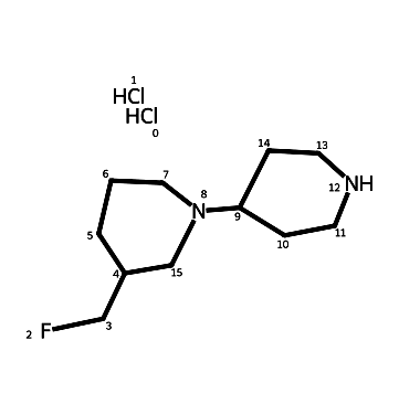 Cl.Cl.FCC1CCCN(C2CCNCC2)C1